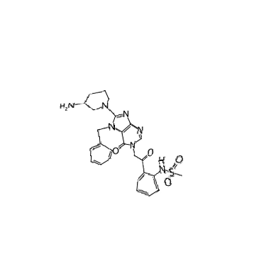 CS(=O)(=O)Nc1ccccc1C(=O)Cn1cnc2nc(N3CCCC(N)C3)n(Cc3ccccc3)c2c1=O